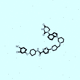 N#Cc1ccc(O[C@H]2CC[C@H](NC(=O)c3ccc(N4CCC(CN5CCC[C@@H](n6ccc7c(N8CCC(=O)NC8=O)cccc76)C5)CC4)nn3)CC2)cc1Cl